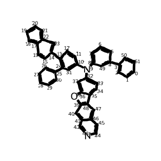 c1ccc(-c2cccc(N(c3ccc(-c4ccc5ccccc5c4)c(-c4ccccc4)c3)c3ccc4c(c3)oc3cc5cnccc5cc34)c2)cc1